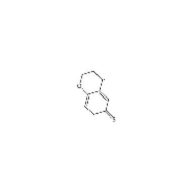 S=C1C=C2[CH]CCOC2=CC1